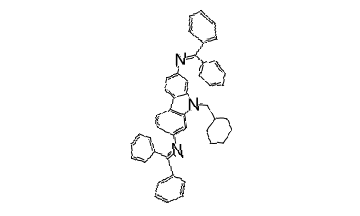 c1ccc(C(=Nc2ccc3c4ccc(N=C(c5ccccc5)c5ccccc5)cc4n(CC4CCCCC4)c3c2)c2ccccc2)cc1